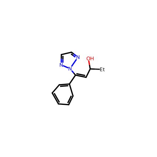 CCC(O)C=C(c1ccccc1)n1nccn1